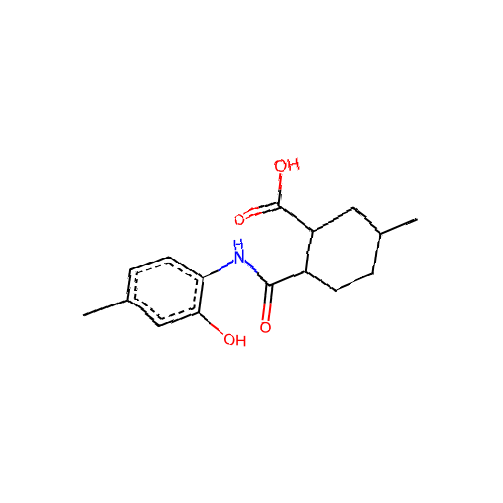 Cc1ccc(NC(=O)C2CCC(C)CC2C(=O)O)c(O)c1